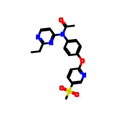 CCc1nccc(N(C(C)=O)c2ccc(Oc3ccc(S(C)(=O)=O)cn3)cc2)n1